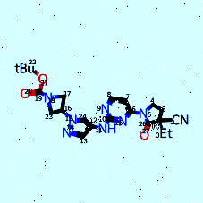 CC[C@]1(C#N)CCN(c2ccnc(Nc3cnn(C4CN(C(=O)OC(C)(C)C)C4)c3)n2)C1=O